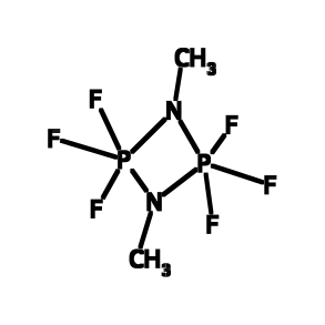 CN1P(F)(F)(F)N(C)P1(F)(F)F